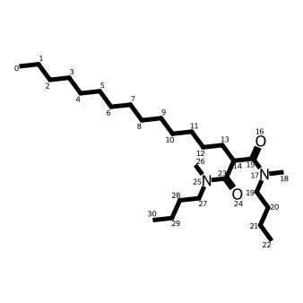 CCCCCCCCCCCCCCC(C(=O)N(C)CCCC)C(=O)N(C)CCCC